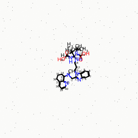 CN(Cc1nc2ccccc2n1CCCNC(NC(=O)O)(N(C(=O)O)C(C)(C)C)C(C)(C)C)C1CCCc2cccnc21